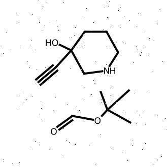 C#CC1(O)CCCNC1.CC(C)(C)OC=O